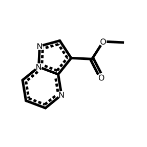 COC(=O)c1cnn2cccnc12